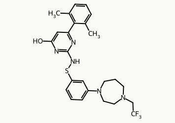 Cc1cccc(C)c1-c1cc(O)nc(NSc2cccc(N3CCCN(CC(F)(F)F)CC3)c2)n1